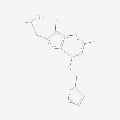 CC(N)Cc1sc2c(NCc3ccco3)cc(Cl)nc2c1C#N